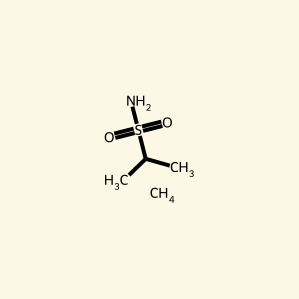 C.CC(C)S(N)(=O)=O